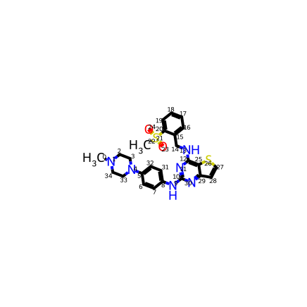 CN1CCN(c2ccc(Nc3nc(NCc4ccccc4S(C)(=O)=O)c4sccc4n3)cc2)CC1